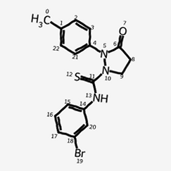 Cc1ccc(N2C(=O)CCN2C(=S)Nc2cccc(Br)c2)cc1